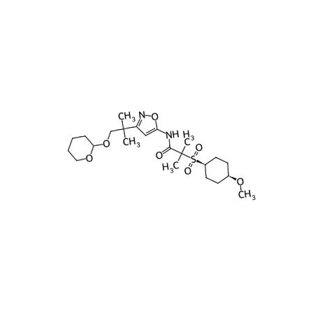 CO[C@H]1CC[C@@H](S(=O)(=O)C(C)(C)C(=O)Nc2cc(C(C)(C)COC3CCCCO3)no2)CC1